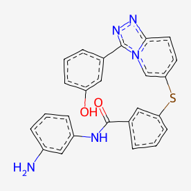 Nc1cccc(NC(=O)c2cccc(Sc3ccc4nnc(-c5cccc(O)c5)n4c3)c2)c1